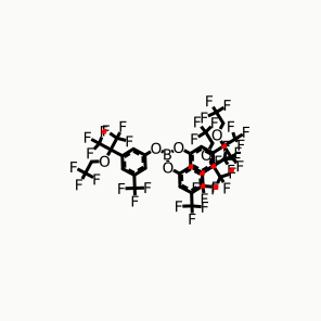 FC(F)(F)COC(c1cc(OB(Oc2cc(C(F)(F)F)cc(C(OCC(F)(F)F)(C(F)(F)F)C(F)(F)F)c2)Oc2cc(C(F)(F)F)cc(C(OCC(F)(F)F)(C(F)(F)F)C(F)(F)F)c2)cc(C(F)(F)F)c1)(C(F)(F)F)C(F)(F)F